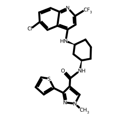 Cn1cc(C(=O)N[C@@H]2CCC[C@H](Nc3cc(C(F)(F)F)nc4ccc(Cl)cc34)C2)c(-c2cccs2)n1